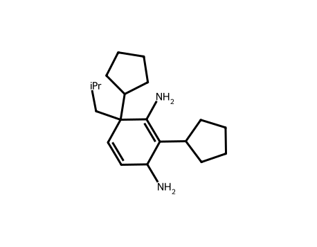 CC(C)CC1(C2CCCC2)C=CC(N)C(C2CCCC2)=C1N